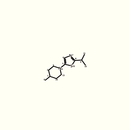 CC1CCN(c2cnc(C(C)C)s2)CC1